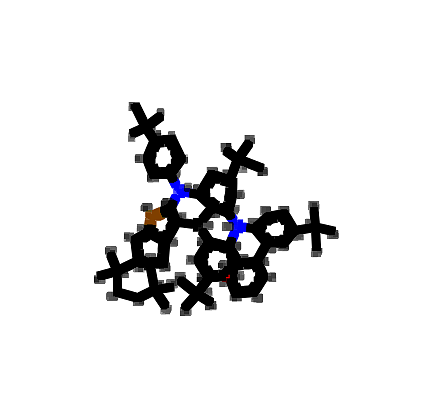 CC(C)(C)c1ccc(N2c3cc(C(C)(C)C)cc4c3B(c3cc(C(C)(C)C)ccc3N4c3ccc(C(C)(C)C)cc3-c3ccccc3)c3c2sc2cc4c(cc32)C(C)(C)CCC4(C)C)cc1